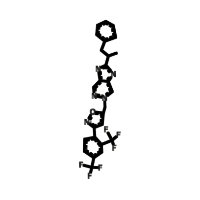 CC(Cc1ccccc1)c1nc2cnn(Cc3cc(-c4ccc(C(F)(F)F)cc4C(F)(F)F)no3)cc-2n1